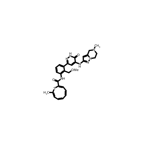 COCc1c(NC(=O)c2ccccccc(C)s2)cccc1-c1cc(Nc2cc3n(n2)CCN(C)C3)c(=O)[nH]n1